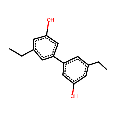 CCc1cc(O)cc(-c2cc(O)cc(CC)c2)c1